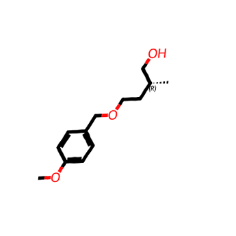 COc1ccc(COCC[C@@H](C)CO)cc1